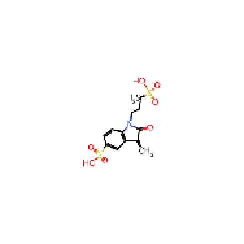 C=C1C(=O)N(CC[SiH2]S(=O)(=O)O)c2ccc(S(=O)(=O)O)cc21